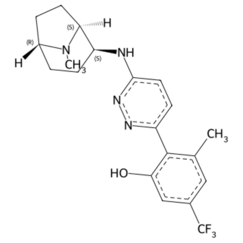 Cc1cc(C(F)(F)F)cc(O)c1-c1ccc(N[C@H]2CC[C@@H]3CC[C@@H]2N3C)nn1